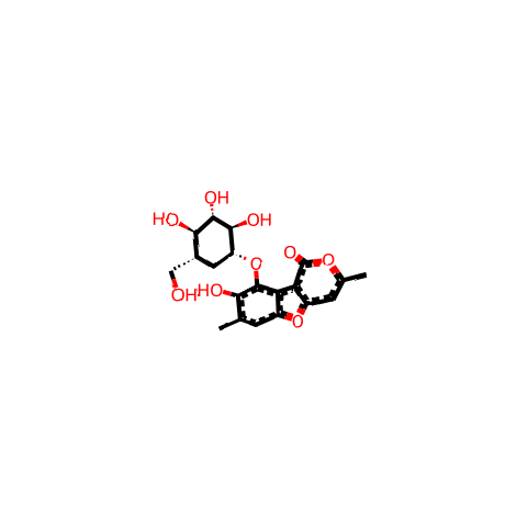 Cc1cc2oc3cc(C)c(O)c(O[C@@H]4C[C@H](CO)[C@@H](O)[C@H](O)[C@H]4O)c3c2c(=O)o1